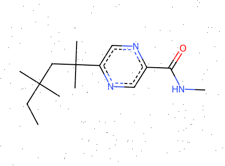 CCC(C)(C)CC(C)(C)c1cnc(C(=O)NC)cn1